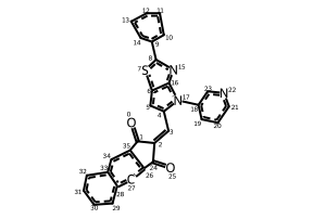 O=C1C(=Cc2cc3sc(-c4ccccc4)nc3n2-c2cccnc2)C(=O)c2cc3ccccc3cc21